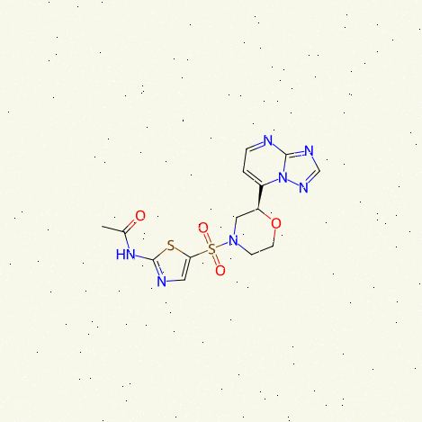 CC(=O)Nc1ncc(S(=O)(=O)N2CCO[C@H](c3ccnc4ncnn34)C2)s1